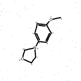 COc1ccc(N2CCOC2)cc1